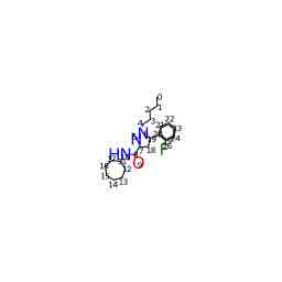 CCCCCN1N=C(C(=O)NC2CCCCCC2)CC1c1ccccc1F